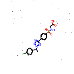 CC(c1ccc(F)cc1)n1nnc(-c2ccc(S(=O)(=O)NCC(=O)O)cc2)n1